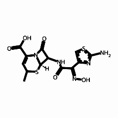 CC1C=C(C(=O)O)N2C(=O)C(NC(=O)/C(=N/O)c3csc(N)n3)[C@H]2S1